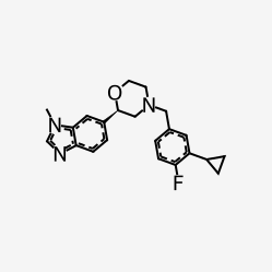 Cn1cnc2ccc([C@@H]3CN(Cc4ccc(F)c(C5CC5)c4)CCO3)cc21